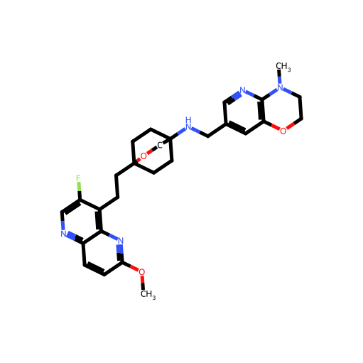 COc1ccc2ncc(F)c(CCC34CCC(NCc5cnc6c(c5)OCCN6C)(CC3)CO4)c2n1